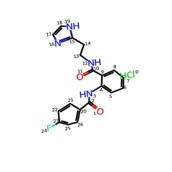 Cl.O=C(Nc1ccccc1C(=O)NCCc1ncc[nH]1)c1ccc(F)cc1